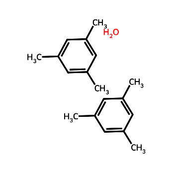 Cc1cc(C)cc(C)c1.Cc1cc(C)cc(C)c1.O